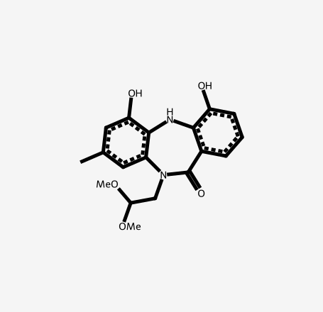 COC(CN1C(=O)c2cccc(O)c2Nc2c(O)cc(C)cc21)OC